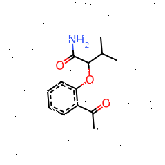 [CH2]C(=O)c1ccccc1OC(C(N)=O)C(C)C